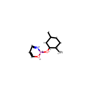 CC1CCC(C(C)C)C(OP2N=CC=CO2)C1